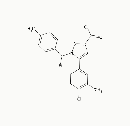 CCC(c1ccc(C)cc1)n1nc(C(=O)Cl)cc1-c1ccc(Cl)c(C)c1